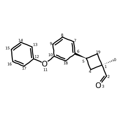 C[C@]1(C=O)C[C@@H](c2cccc(Oc3ccccc3)c2)C1